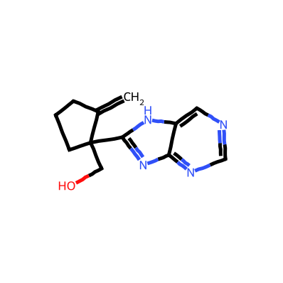 C=C1CCCC1(CO)c1nc2ncncc2[nH]1